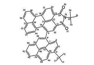 CC(C)(C)c1ccc2c(-c3cc4c5c(ccc6c7cccc8cccc(c3c56)c87)C(=O)N(C(C)(C)C)C4=O)cc3cccc4ccc1c2c43